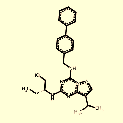 CC[C@H](CO)Nc1nc(NCc2ccc(-c3ccccc3)cc2)n2ncc(C(C)C)c2n1